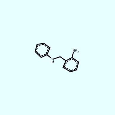 Nc1ccccc1CNc1ccccc1